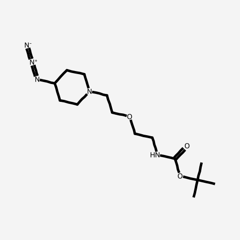 CC(C)(C)OC(=O)NCCOCCN1CCC(N=[N+]=[N-])CC1